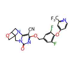 N#Cc1c(OCc2cc(F)c(Oc3ccnc(C(F)(F)F)c3)c(F)c2)nc(=O)n2c1N1CC3OCC31C2